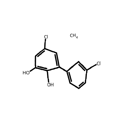 C.Oc1cc(Cl)cc(-c2cccc(Cl)c2)c1O